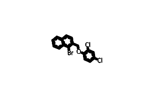 Clc1ccc(OCc2ccc3ccccc3c2Br)c(Cl)c1